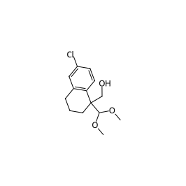 COC(OC)C1(CO)CCCc2cc(Cl)ccc21